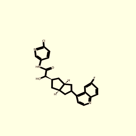 O=C(Nc1ccc(Cl)nc1)C(O)[C@H]1C[C@H]2CC(c3ccnc4ccc(F)cc34)C[C@H]2C1